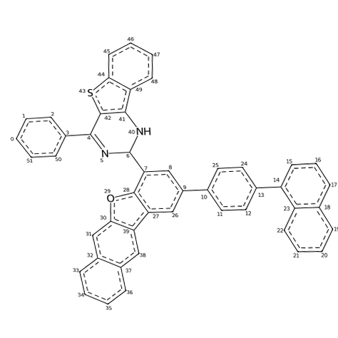 c1ccc(C2=NC(c3cc(-c4ccc(-c5cccc6ccccc56)cc4)cc4c3oc3cc5ccccc5cc34)Nc3c2sc2ccccc32)cc1